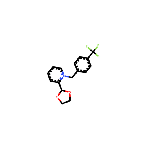 FC(F)(F)c1ccc(C[n+]2ccccc2C2OCCO2)cc1